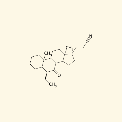 CC[C@@H]1C(=O)C2C3CCC(CCC#N)C3(C)CCC2C2(C)CCCCC12